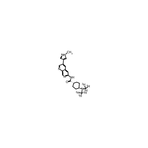 [2H]C([2H])([2H])N([C@H]1CC[C@H](C(=O)Nc2cc3cc(-c4cnn(C)c4)cnc3cn2)CC1)C([2H])([2H])[2H]